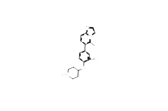 Cc1c(-c2ccc(OC3CCNCC3)cc2)ccc2nccn12.Cl.Cl